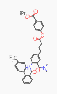 CC(C)OC(=O)c1ccc(OC(=O)CCCc2ccc(NC(=O)c3ccccc3-c3ccc(C(F)(F)F)cc3)c(C(=O)N(C)C)c2)cc1